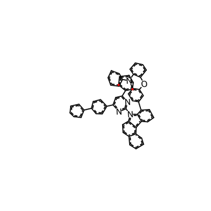 c1ccc(-c2ccc(-c3cc(-c4ccccc4)nc(-n4c5ccc6ccccc6c5c5cccc(-c6ccc7c(c6)Oc6ccccc6N7c6ccccc6)c54)n3)cc2)cc1